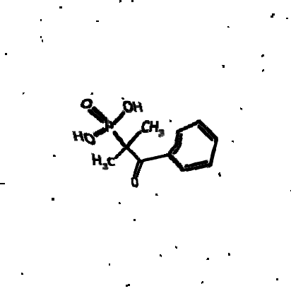 CC(C)(C(=O)c1ccccc1)P(=O)(O)O